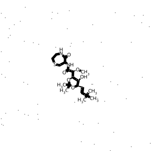 CO[C@@H](C(=O)NC1CSCCNC1=O)[C@@H]1OC(C)(C)O[C@H](C=CC(C)(C)C)[C@@H]1O